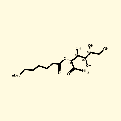 CCCCCCCCCCCCCCCC(=O)O[C@@H](C(N)=O)[C@@H](O)[C@H](O)[C@H](O)CO